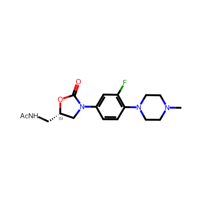 CC(=O)NC[C@H]1CN(c2ccc(N3CCN(C)CC3)c(F)c2)C(=O)O1